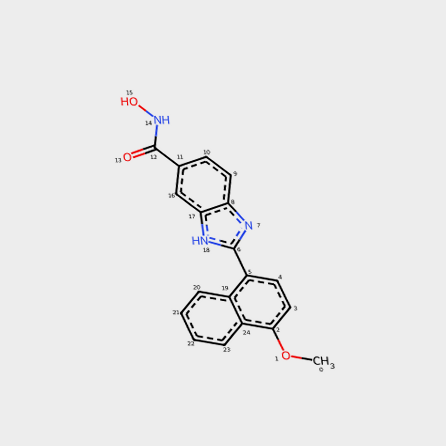 COc1ccc(-c2nc3ccc(C(=O)NO)cc3[nH]2)c2ccccc12